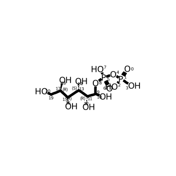 O=P(O)(O)OP(=O)(O)OC(O)[C@H](O)[C@@H](O)[C@H](O)[C@H](O)CO